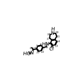 C/C(=N\O)c1ccc(CNc2c(Cl)ccc3c2CCNCC3)cc1